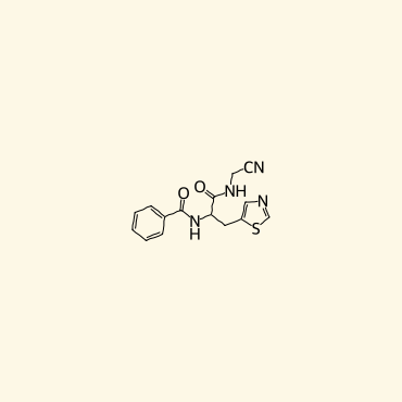 N#CCNC(=O)C(Cc1cncs1)NC(=O)c1ccccc1